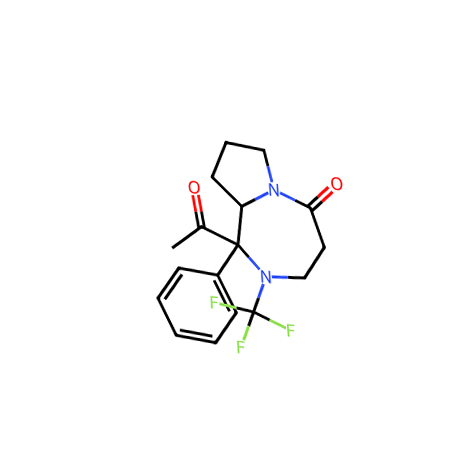 CC(=O)C1(c2ccccc2)C2CCCN2C(=O)CCN1C(F)(F)F